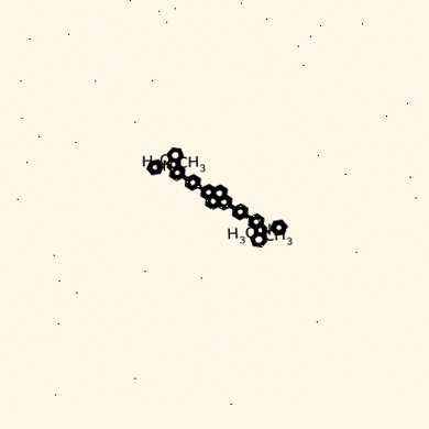 CC12CCCCC1(C)N(c1ccccc1)c1ccc(-c3ccc(-c4cc5ccc6cc(-c7ccc(-c8ccc9c(c8)C8(C)CCCCC8(C)N9c8ccccc8)cc7)cc7ccc(c4)c5c67)cc3)cc12